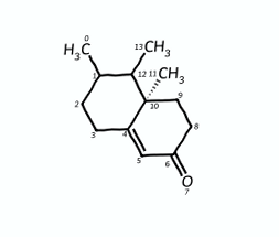 CC1CCC2=CC(=O)CC[C@]2(C)C1C